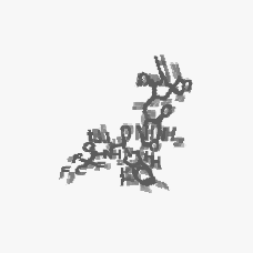 CC(C)(C)[C@H](NC(=O)C(F)(F)C(F)(F)F)C(=O)N1C[C@H]2[C@@H]([C@H]1C(=O)N[C@@H](CC1CC3(COC3)NC1=O)C(N)=O)[C@H]1C=C[C@@H]2C1